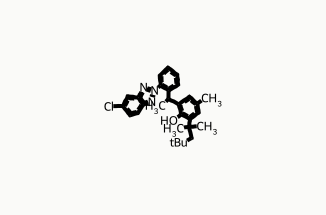 Cc1cc(C(C)c2ccccc2-n2nc3ccc(Cl)cc3n2)c(O)c(C(C)(C)CC(C)(C)C)c1